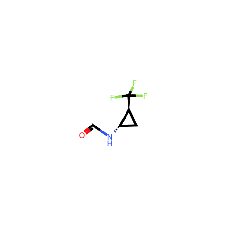 O=[C]N[C@H]1C[C@@H]1C(F)(F)F